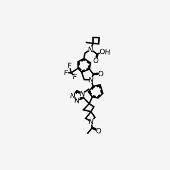 CC(=O)N1CC2(C1)CC(c1cccc(N3Cc4c(cc(CN(C(=O)O)C5(C)CCC5)cc4C(F)(F)F)C3=O)c1)(c1nncn1C)C2